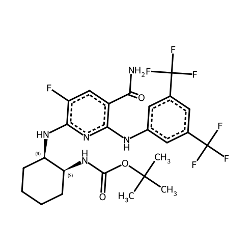 CC(C)(C)OC(=O)N[C@H]1CCCC[C@H]1Nc1nc(Nc2cc(C(F)(F)F)cc(C(F)(F)F)c2)c(C(N)=O)cc1F